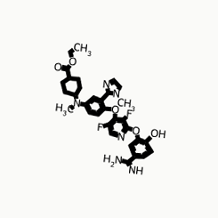 CCOC(=O)C1CCC(N(C)c2ccc(Oc3c(F)cnc(Oc4cc(C(=N)N)ccc4O)c3F)c(C3N=CCN3C)c2)CC1